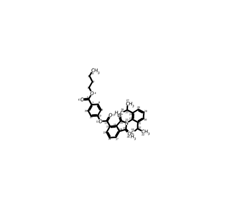 CCCCOC(=O)c1ccc(OC(=O)c2cccc3c2C(=O)N(c2c(C(C)C)cccc2C(C)C)C3=O)cc1